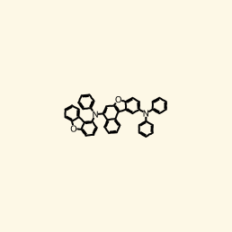 c1ccc(N(c2ccccc2)c2ccc3oc4cc(N(c5ccccc5)c5cccc6oc7ccccc7c56)c5ccccc5c4c3c2)cc1